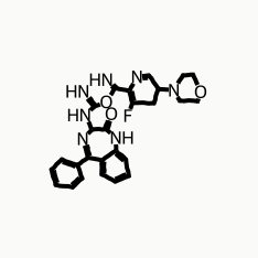 N=C(NC1N=C(c2ccccc2)c2ccccc2NC1=O)OC(=N)C1=C(F)CC(N2CCOCC2)C=N1